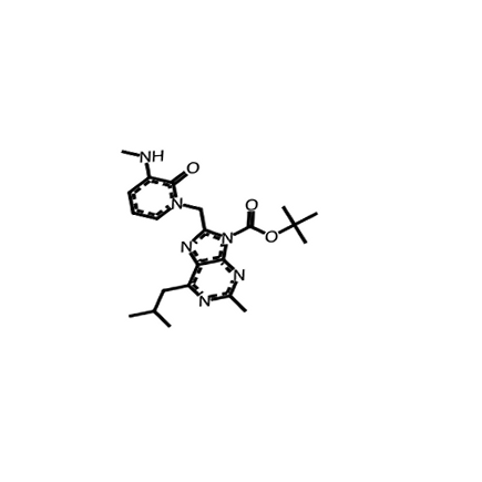 CNc1cccn(Cc2nc3c(CC(C)C)nc(C)nc3n2C(=O)OC(C)(C)C)c1=O